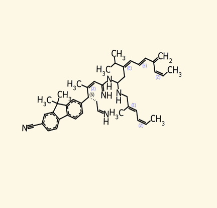 C=C(/C=C\C)/C=C/C=C(\CC(NC/C(C)=C/C=C\C)NC(=N)/C=C(/C)[C@H](CC=N)c1ccc2c(c1)C(C)(C)c1cc(C#N)ccc1-2)C(C)C